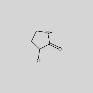 O=C1N[CH]CC1Cl